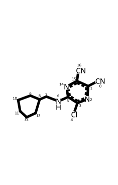 N#Cc1nc(Cl)c(NCC2CCCCC2)nc1C#N